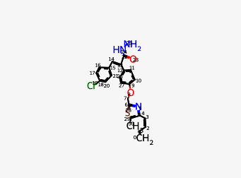 C=C/C=C\c1nc(COc2ccc(/C(=C\c3ccc(Cl)cc3)C(=O)NN)cc2)sc1C